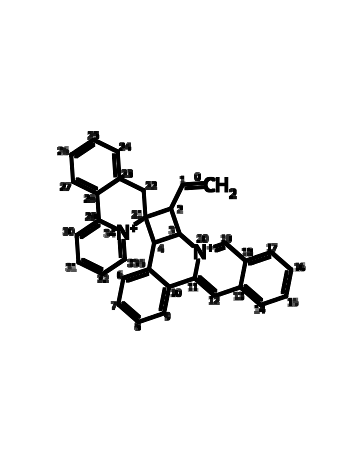 C=CC1C2C(c3ccccc3-c3cc4ccccc4c[n+]32)C12Cc1ccccc1-c1cccc[n+]12